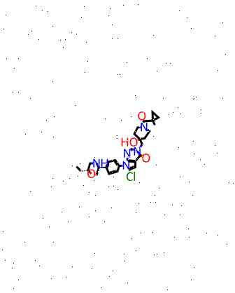 CC[C@@H]1CN[C@@H](c2ccc(-n3c(Cl)cc4c(=O)n(CC5(O)CCN(C(=O)C6(C)CC6)CC5)cnc43)cc2)CO1